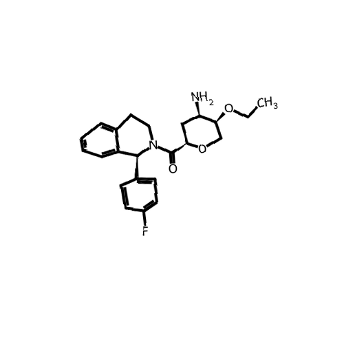 CCO[C@H]1CO[C@@H](C(=O)N2CCc3ccccc3[C@@H]2c2ccc(F)cc2)C[C@H]1N